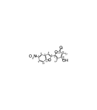 Cc1c(-c2cc3cc([N+](=O)[O-])ccc3o2)oc(=O)c(C)c1O